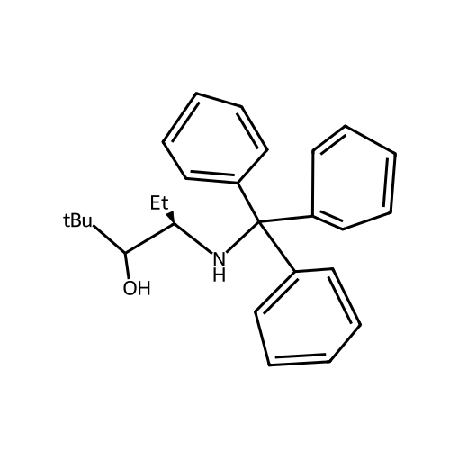 CC[C@@H](NC(c1ccccc1)(c1ccccc1)c1ccccc1)C(O)C(C)(C)C